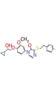 COc1cc(-n2ccnc(SCCc3ccc(F)cc3)c2=O)ccc1OCC(O)C1CC1